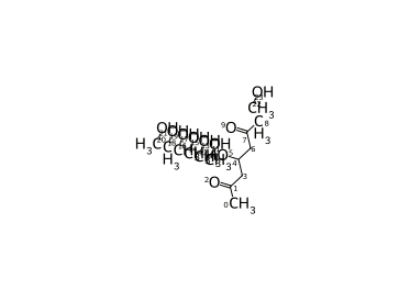 CC(=O)CC(O)CC(C)=O.CO.CO.CO.CO.CO.CO.CO